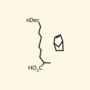 C1=CC2CCC1C2.CCCCCCCCCCCCCCCCC(C)C(=O)O